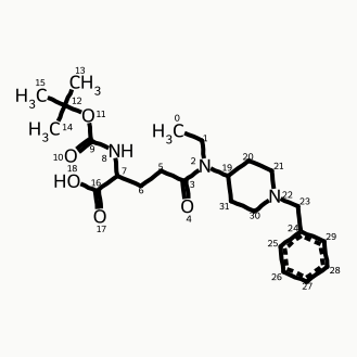 CCN(C(=O)CCC(NC(=O)OC(C)(C)C)C(=O)O)C1CCN(Cc2ccccc2)CC1